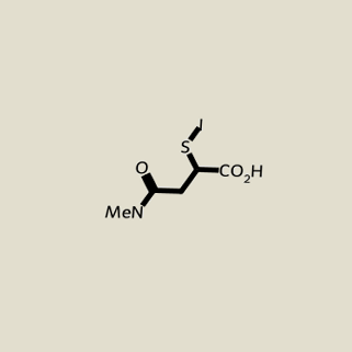 CNC(=O)CC(SI)C(=O)O